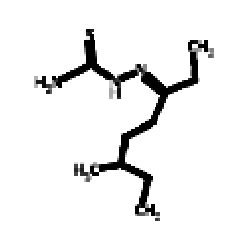 CCC(CCC(C)CC)=NNC(N)=S